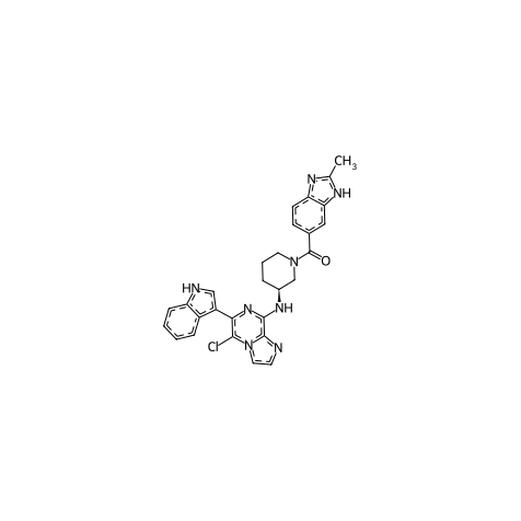 Cc1nc2ccc(C(=O)N3CCC[C@H](Nc4nc(-c5c[nH]c6ccccc56)c(Cl)n5ccnc45)C3)cc2[nH]1